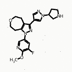 COc1ncc(-n2nc(-c3cnn(C4CCNC4)c3)c3c2CCOCC3)cc1F